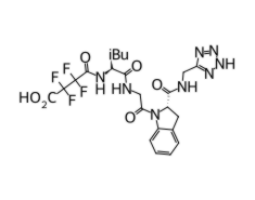 CC[C@H](C)[C@H](NC(=O)C(F)(F)C(F)(F)C(=O)O)C(=O)NCC(=O)N1c2ccccc2C[C@H]1C(=O)NCc1nn[nH]n1